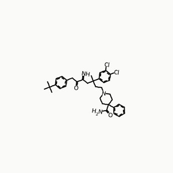 CC(C)(C)c1ccc(CC(=O)C(=N)CC(C)(CCN2CCC(C(N)=O)(c3ccccc3)CC2)c2ccc(Cl)c(Cl)c2)cc1